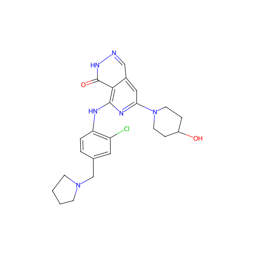 O=c1[nH]ncc2cc(N3CCC(O)CC3)nc(Nc3ccc(CN4CCCC4)cc3Cl)c12